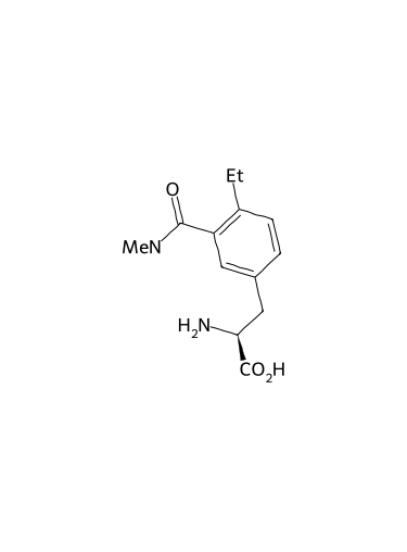 CCc1ccc(C[C@H](N)C(=O)O)cc1C(=O)NC